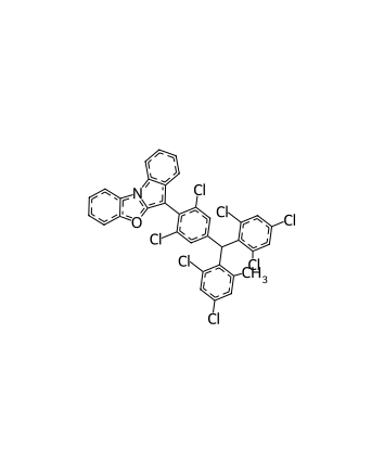 Cc1cc(Cl)cc(Cl)c1C(c1cc(Cl)c(-c2c3ccccc3n3c2oc2ccccc23)c(Cl)c1)c1c(Cl)cc(Cl)cc1Cl